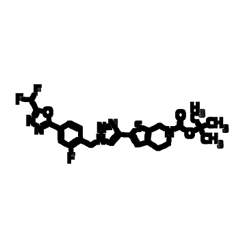 CC(C)(C)OC(=O)N1CCc2cc(-c3cn(Cc4ccc(-c5nnc(C(F)F)o5)cc4F)nn3)sc2C1